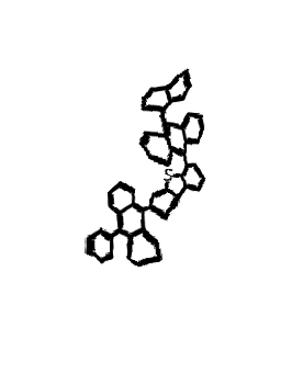 c1ccc(-c2c3ccccc3c(-c3ccc4c(c3)sc3c(-c5c6ccccc6c(-c6cccc7ccccc67)c6ccccc56)cccc34)c3ccccc23)cc1